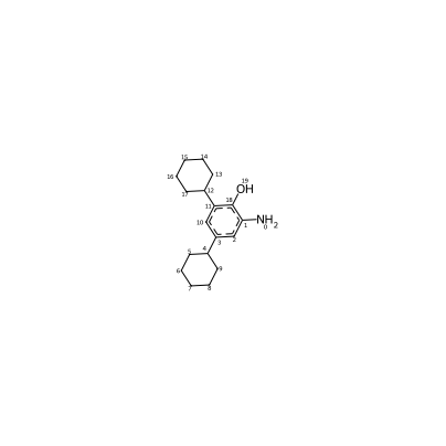 Nc1cc(C2CCCCC2)cc(C2CCCCC2)c1O